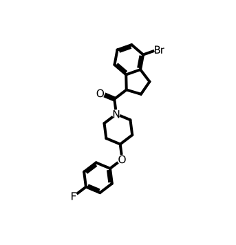 O=C(C1CCc2c(Br)cccc21)N1CCC(Oc2ccc(F)cc2)CC1